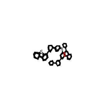 c1ccc(-c2cccc(-c3cccc(N(c4ccc(-c5cccc(-c6cccc7c6sc6ccccc67)c5)cc4)c4ccccc4-c4ccc5ccccc5c4)c3)c2)cc1